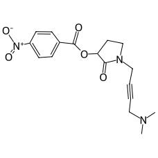 CN(C)CC#CCN1CCC(OC(=O)c2ccc([N+](=O)[O-])cc2)C1=O